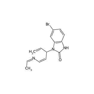 C=CC(/C=C\N=C/C)n1c(=O)[nH]c2ccc(Br)cc21